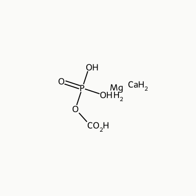 O=C(O)OP(=O)(O)O.[CaH2].[MgH2]